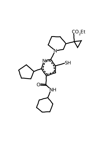 CCOC(=O)C1(C2CCCN(c3nc(C4CCCC4)c(C(=O)NC4CCCCC4)cc3S)C2)CC1